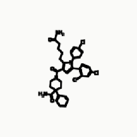 NC(=O)CCCCc1c(C(=O)N2CCC(C(N)=O)(c3ccccc3)CC2)cc(-c2ccc(Cl)cc2Cl)n1-c1ccc(Cl)cc1